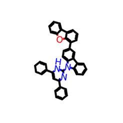 C1=CC(C2=CC(c3ccccc3)=NC(n3c4ccccc4c4cc(-c5cccc6c5oc5ccccc56)ccc43)N2)=CCC1